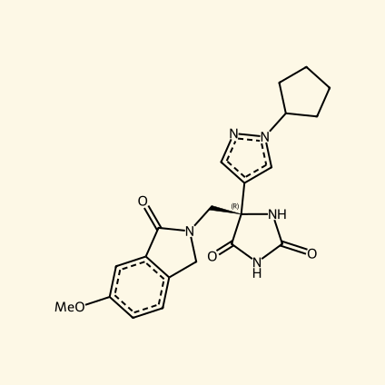 COc1ccc2c(c1)C(=O)N(C[C@@]1(c3cnn(C4CCCC4)c3)NC(=O)NC1=O)C2